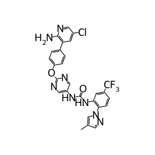 Cc1cnn(-c2ccc(C(F)(F)F)cc2NC(=O)Nc2cnc(Oc3ccc(-c4cc(Cl)cnc4N)cc3)nc2)c1